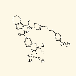 CCC(CC)N(Cc1cccc(C(=O)Nc2sc3c(c2C(=O)Nc2ccc(CCCc4ccc(C(=O)O)cc4)cc2)CCCC3)c1)C(=O)CC(C)(C)C(=O)O